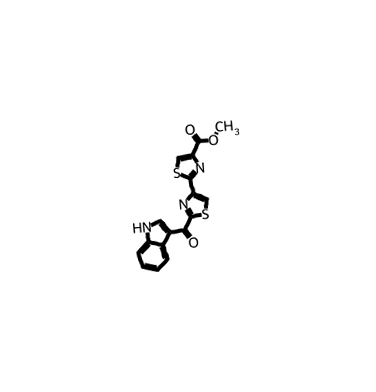 COC(=O)c1csc(-c2csc(C(=O)c3c[nH]c4ccccc34)n2)n1